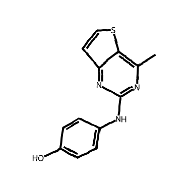 Cc1nc(Nc2ccc(O)cc2)nc2ccsc12